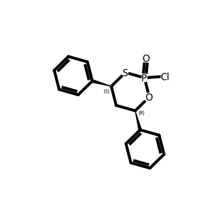 O=P1(Cl)O[C@@H](c2ccccc2)C[C@@H](c2ccccc2)S1